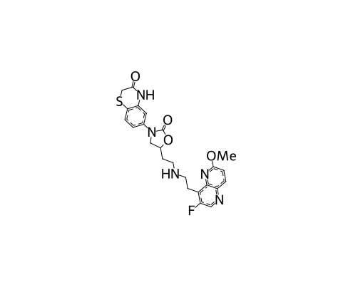 COc1ccc2ncc(F)c(CCNCCC3CN(c4ccc5c(c4)NC(=O)CS5)C(=O)O3)c2n1